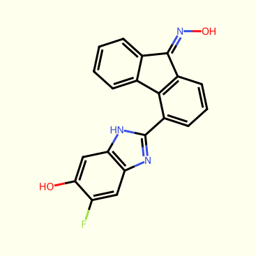 ON=C1c2ccccc2-c2c1cccc2-c1nc2cc(F)c(O)cc2[nH]1